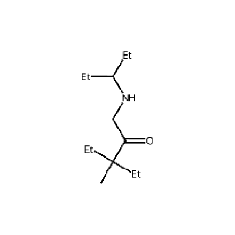 CCC(CC)NCC(=O)C(C)(CC)CC